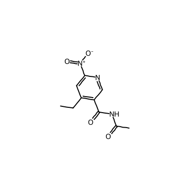 CCc1cc([N+](=O)[O-])ncc1C(=O)NC(C)=O